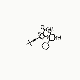 CC(C)(C)C#Cc1cc(N2C(=O)CNCC2C2CCCCC2)c(C(=O)O)s1